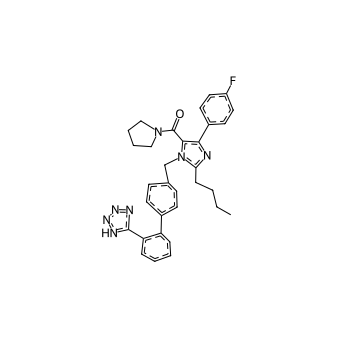 CCCCc1nc(-c2ccc(F)cc2)c(C(=O)N2CCCC2)n1Cc1ccc(-c2ccccc2-c2nnn[nH]2)cc1